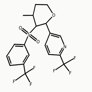 CC1CCOC(c2ccc(C(F)(F)F)nc2)C1S(=O)(=O)c1cccc(C(F)(F)F)c1